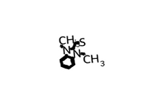 CCN1c2ccccc2N(CC)C1[C]=S